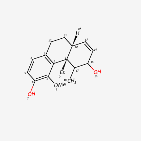 CC[C@@]12c3c(ccc(O)c3OC)CC[C@@H]1C=CC(O)C2C